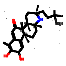 CC1=C(O)C(O)C=C2C1=CC(=O)[C@H]1[C@@]2(C)CC[C@@]2(C)N[C@](C)(CCC(C)(C)C(=O)O)CC[C@]12C